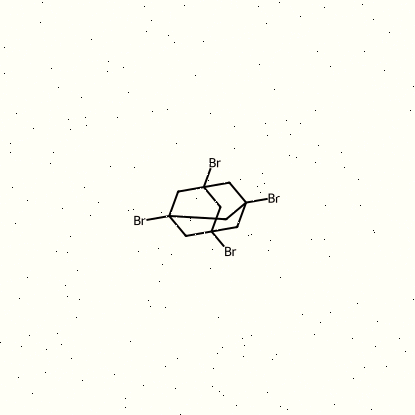 BrC12CC3(Br)CC(Br)(C1)CC(Br)(C2)C3